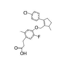 Cc1cc(OCC2=C(c3ccc(Cl)cc3)CCC2C)c(F)cc1CCC(=O)O